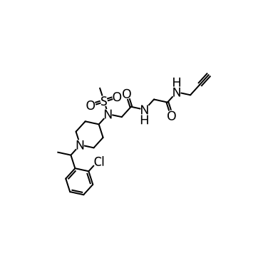 C#CCNC(=O)CNC(=O)CN(C1CCN(C(C)c2ccccc2Cl)CC1)S(C)(=O)=O